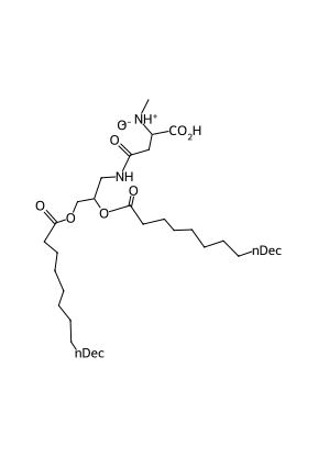 CCCCCCCCCCCCCCCCCC(=O)OCC(CNC(=O)CC(C(=O)O)[NH+](C)[O-])OC(=O)CCCCCCCCCCCCCCCCC